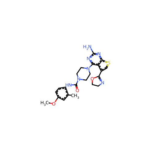 COc1ccc(NC(=O)N2CCN(c3nc(N)nc4scc(C5=NCCO5)c34)CC2)c(C)c1